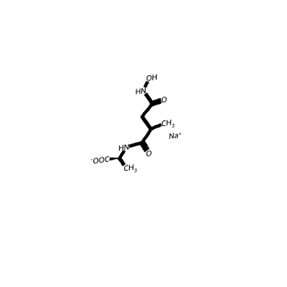 CC(CC(=O)NO)C(=O)N[C@@H](C)C(=O)[O-].[Na+]